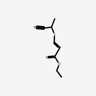 CCOC(=S)C=CSC(C)C#N